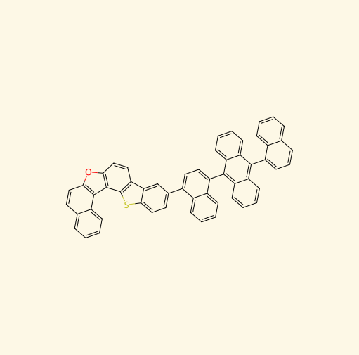 c1ccc2c(-c3c4ccccc4c(-c4ccc(-c5ccc6sc7c(ccc8oc9ccc%10ccccc%10c9c87)c6c5)c5ccccc45)c4ccccc34)cccc2c1